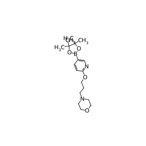 CC1(C)OB(c2ccc(OCCCN3CCOCC3)nc2)OC1(C)C